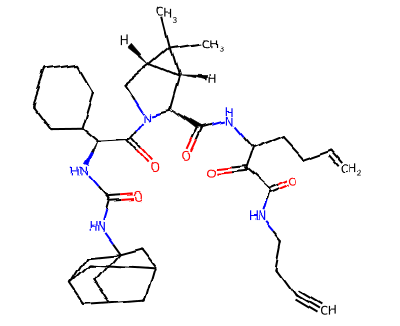 C#CCCNC(=O)C(=O)C(CCC=C)NC(=O)[C@@H]1[C@@H]2[C@H](CN1C(=O)[C@@H](NC(=O)NC13CC4CC(CC(C4)C1)C3)C1CCCCC1)C2(C)C